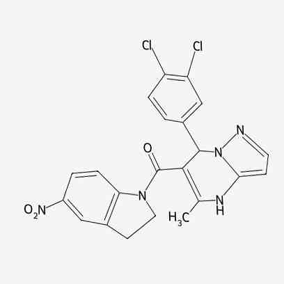 CC1=C(C(=O)N2CCc3cc([N+](=O)[O-])ccc32)C(c2ccc(Cl)c(Cl)c2)n2nccc2N1